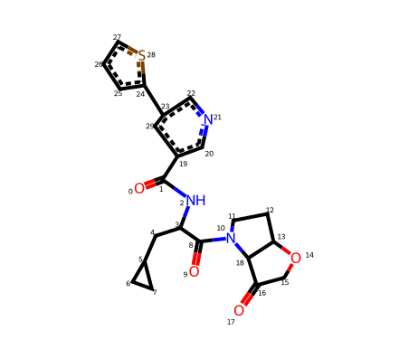 O=C(NC(CC1CC1)C(=O)N1CCC2OCC(=O)C21)c1cncc(-c2cccs2)c1